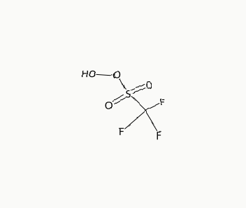 O=S(=O)(OO)C(F)(F)F